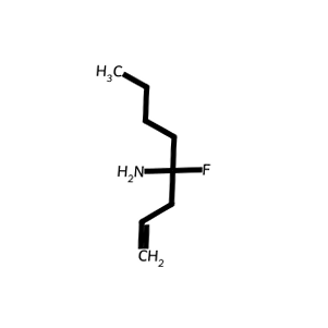 C=CCC(N)(F)CCCC